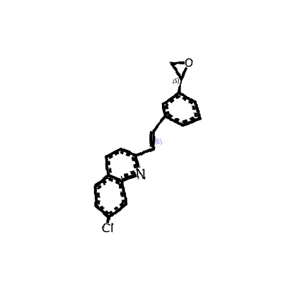 Clc1ccc2ccc(/C=C/c3cccc([C@H]4CO4)c3)nc2c1